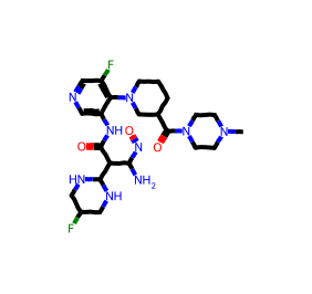 CN1CCN(C(=O)C2CCCN(c3c(F)cncc3NC(=O)C(C(N)N=O)C3NCC(F)CN3)C2)CC1